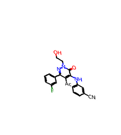 CC(=O)c1c(-c2cccc(F)c2)nn(CCO)c(=O)c1Nc1cccc(C#N)c1